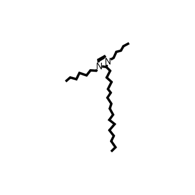 CCCCCCCCCCCCCCCCC1N(CCCCC)C=CN1CCCCCCC